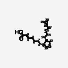 O=C(O)C=CCCCC[C@H]1CSC[C@H]1CCSCC1CC1